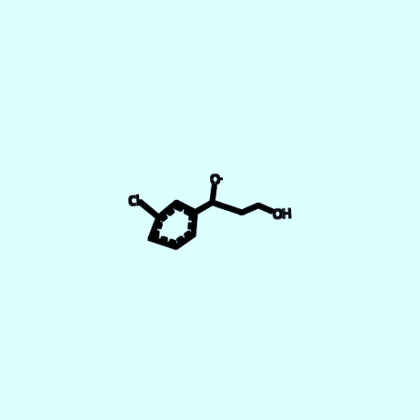 [O]C(CCO)c1cccc(Cl)c1